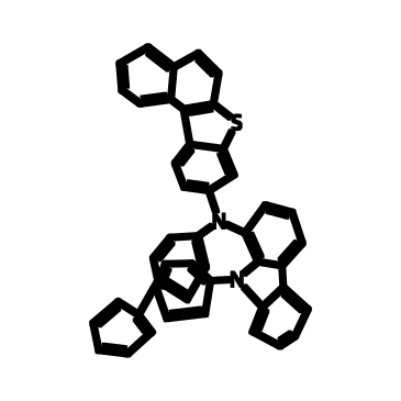 c1ccc(-c2ccc(N(c3ccc4c(c3)sc3ccc5ccccc5c34)c3cccc4c5ccccc5n(-c5ccccc5)c34)cc2)cc1